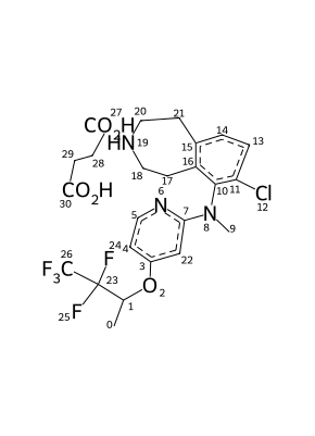 CC(Oc1ccnc(N(C)c2c(Cl)ccc3c2CCNCC3)c1)C(F)(F)C(F)(F)F.O=C(O)CCC(=O)O